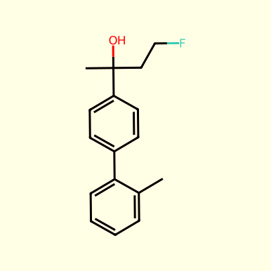 Cc1ccccc1-c1ccc(C(C)(O)CCF)cc1